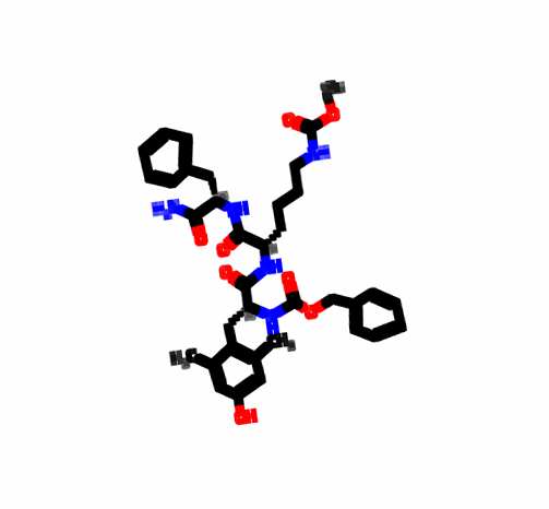 Cc1cc(O)cc(C)c1C[C@@H](NC(=O)OCc1ccccc1)C(=O)N[C@@H](CCCCNC(=O)OC(C)(C)C)C(=O)N[C@@H](Cc1ccccc1)C(N)=O